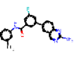 Nc1ncc2cc(-c3cc(F)cc(C(=O)Nc4cccc(C(F)(F)F)c4)c3)ccc2n1